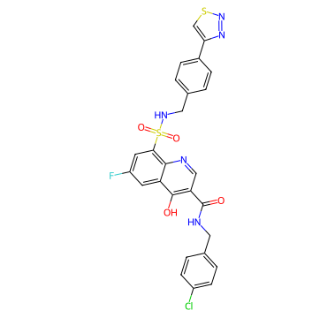 O=C(NCc1ccc(Cl)cc1)c1cnc2c(S(=O)(=O)NCc3ccc(-c4csnn4)cc3)cc(F)cc2c1O